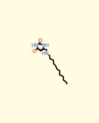 CCCCCCCCCCCCNCc1cc(=O)[nH]c(=O)[nH]1